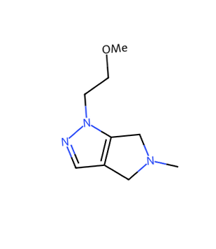 COCCn1ncc2c1CN(C)C2